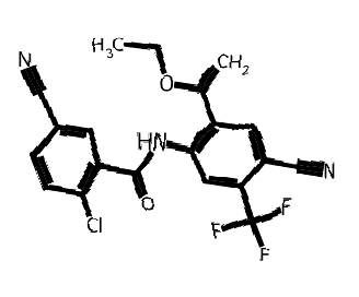 C=C(OCC)c1cc(C#N)c(C(F)(F)F)cc1NC(=O)c1cc(C#N)ccc1Cl